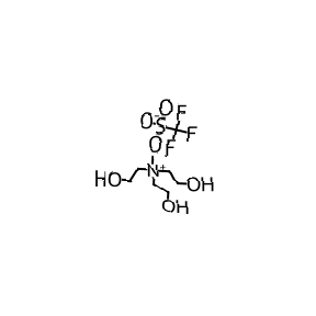 C[N+](CCO)(CCO)CCO.O=S(=O)([O-])C(F)(F)F